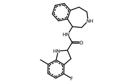 Cc1ccc(F)c2c1NC(C(=O)NC1CNCCc3ccccc31)C2